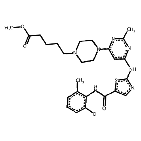 COC(=O)CCCCN1CCN(c2cc(Nc3ncc(C(=O)Nc4c(C)cccc4Cl)s3)nc(C)n2)CC1